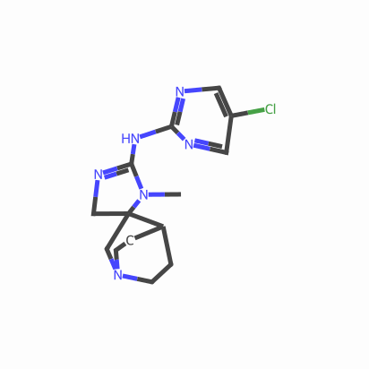 CN1C(Nc2ncc(Cl)cn2)=NCC12CN1CCC2CC1